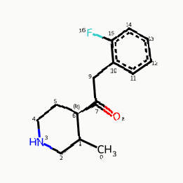 CC1CNCC[C@H]1C(=O)Cc1ccccc1F